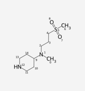 CN(CCCS(C)(=O)=O)C1CCNCC1